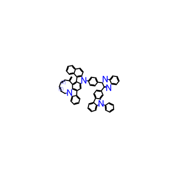 C=C1/C=C\C=C/Cn2c3ccccc3c3cc4c(c1c32)c1c2ccccc2ccc1n4-c1ccc(-c2nc3ccccc3nc2-c2ccc3c4ccccc4n(-c4ccccc4)c3c2)cc1